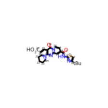 CC(C)(C)c1csc(NC(=O)c2ccn3c(=O)c(C=CC(=O)O)c(N4CCCCC4)nc3c2)n1